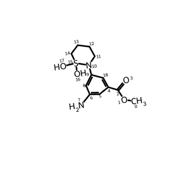 COC(=O)c1cc(N)cc(N2CCCCS2(O)O)c1